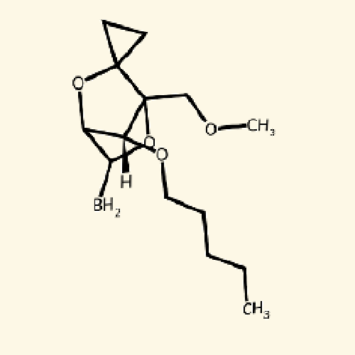 BC1OC2(COC)[C@H](OCCCCC)C1OC21CC1